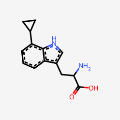 NC(Cc1c[nH]c2c(C3CC3)cccc12)C(=O)O